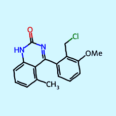 COc1cccc(-c2nc(=O)[nH]c3cccc(C)c23)c1CCl